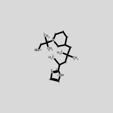 CC(CC(C)(C)CC1CCCN(C(C)(C)CC(C)(C)C)C1)c1ncc[nH]1